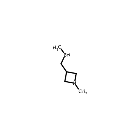 CBCC1CN(C)C1